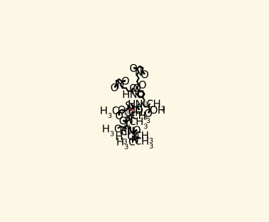 CC[C@H](C)[C@H](CNC(=O)C(C)(C)N(C)C)C(=O)N(C)[C@H](C[C@@H](OC(C)=O)c1nc(C(=O)N[C@@H](Cc2ccc(OC(=O)CCCN3C(=O)C=CC3=O)c(NC(=O)CCCN3C(=O)C=CC3=O)c2)CC(C)C(=O)O)cs1)C(C)C